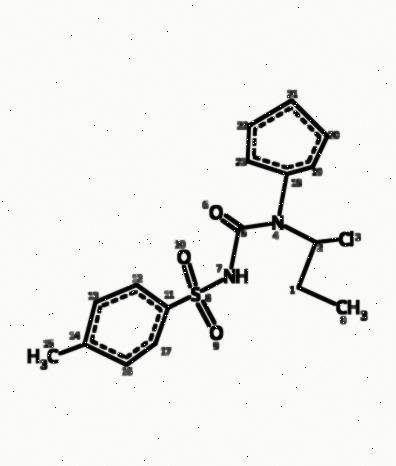 CCC(Cl)N(C(=O)NS(=O)(=O)c1ccc(C)cc1)c1ccccc1